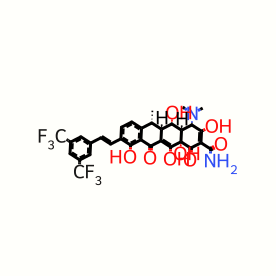 C[C@H]1c2ccc(/C=C/c3cc(C(F)(F)F)cc(C(F)(F)F)c3)c(O)c2C(=O)C2=C(O)[C@]3(O)C(=O)C(C(N)=O)=C(O)[C@@H](N(C)C)[C@@H]3[C@@H](O)[C@@H]21